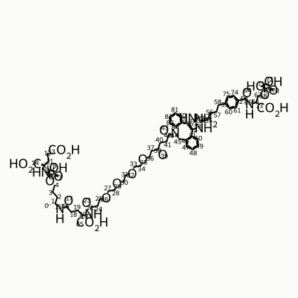 C[C@H](CCCOP(=O)(O)NC(CCC(=O)O)C(=O)O)NC(=O)CCC(NC(=O)CCOCCOCCOCCOCCC(=O)CCC(=O)N1Cc2ccccc2/C(NCCCCCc2ccc(C(=O)NC(COP(=O)(O)O)C(=O)O)cc2)=C(/NN)c2ccccc21)C(=O)O